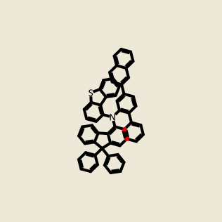 c1ccc(-c2ccc(-c3ccc4ccccc4c3)cc2N(c2cccc3c2-c2ccccc2C3(c2ccccc2)c2ccccc2)c2cccc3sc4ccccc4c23)cc1